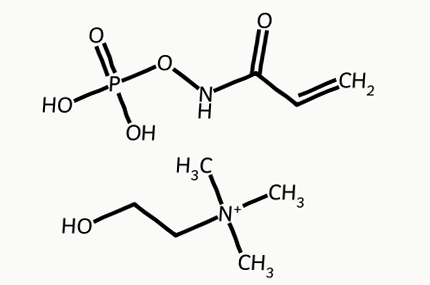 C=CC(=O)NOP(=O)(O)O.C[N+](C)(C)CCO